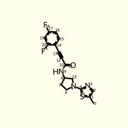 Cc1cnc(N2CCC(NC(=O)C#Cc3ccc(F)cc3F)C2)s1